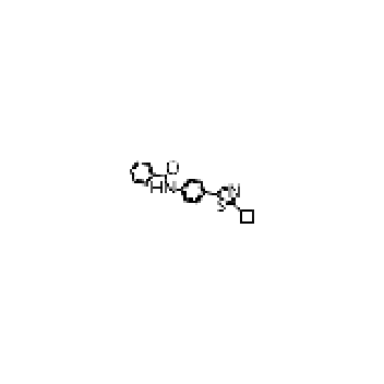 O=C(Nc1ccc(-c2cnc([C]3CCC3)s2)cc1)c1ccccc1